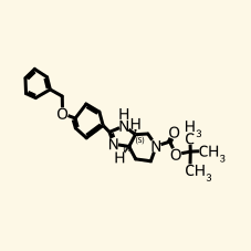 CC(C)(C)OC(=O)N1CC[C@H]2N=C(c3ccc(OCc4ccccc4)cc3)N[C@H]2C1